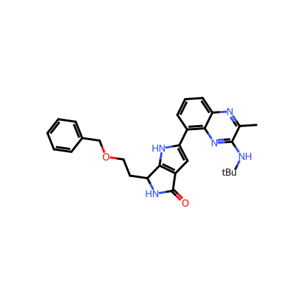 Cc1nc2cccc(-c3cc4c([nH]3)C(CCOCc3ccccc3)NC4=O)c2nc1NC(C)(C)C